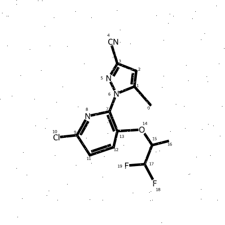 Cc1cc(C#N)nn1-c1nc(Cl)ccc1OC(C)C(F)F